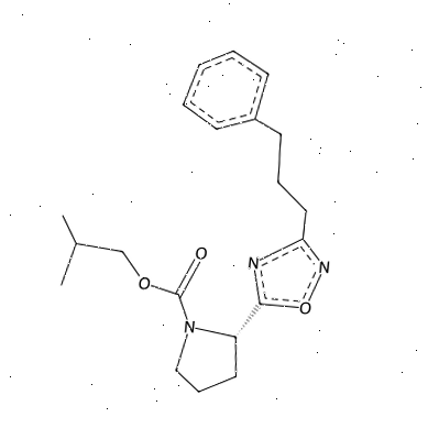 CC(C)COC(=O)N1CCC[C@H]1c1nc(CCCc2ccccc2)no1